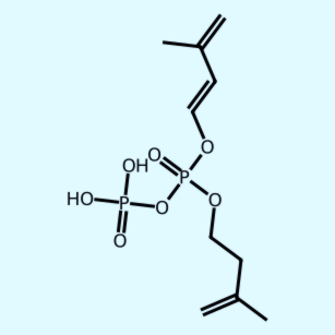 C=C(C)C=COP(=O)(OCCC(=C)C)OP(=O)(O)O